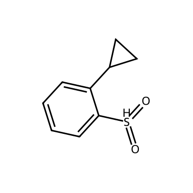 O=[SH](=O)c1ccccc1C1CC1